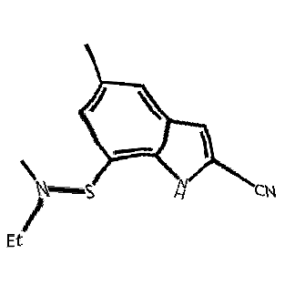 CCN(C)Sc1cc(C)cc2cc(C#N)[nH]c12